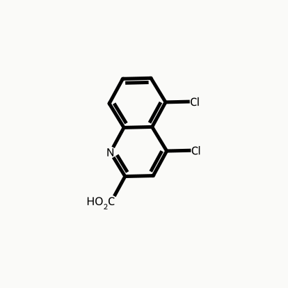 O=C(O)c1cc(Cl)c2c(Cl)cccc2n1